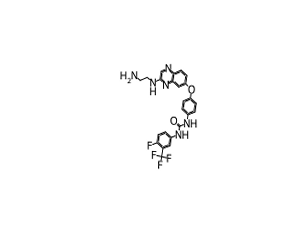 NCCNc1cnc2ccc(Oc3ccc(NC(=O)Nc4ccc(F)c(C(F)(F)F)c4)cc3)cc2n1